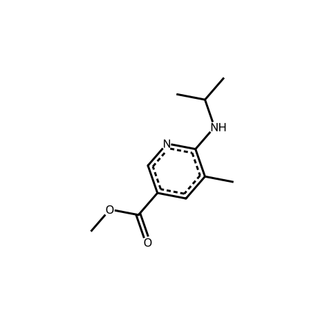 COC(=O)c1cnc(NC(C)C)c(C)c1